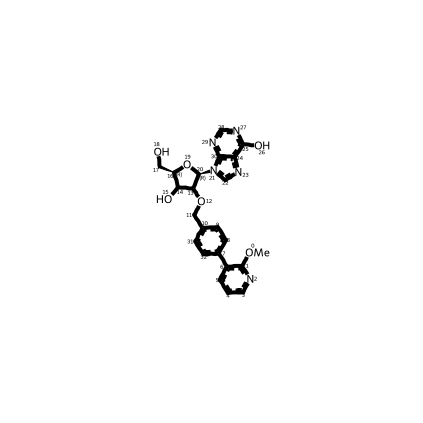 COc1ncccc1-c1ccc(COC2C(O)[C@@H](CO)O[C@H]2n2cnc3c(O)ncnc32)cc1